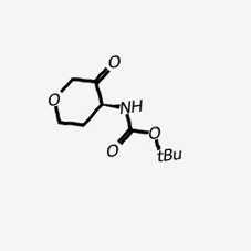 CC(C)(C)OC(=O)N[C@H]1CCOCC1=O